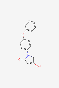 O=C1C=C(O)CN1c1ccc(Oc2ccccc2)cc1